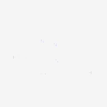 Cc1ccc(Cn2cc(C)c(-c3ccc(C)cc3)c2C2CN(c3ccccc3)CC[N]2)cc1